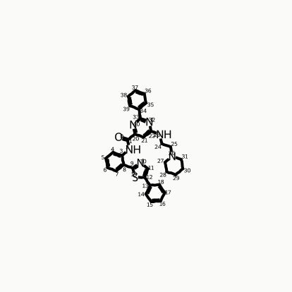 O=C(Nc1ccccc1-c1ncc(-c2ccccc2)s1)c1cc(NCCN2CCCCC2)nc(-c2ccccc2)n1